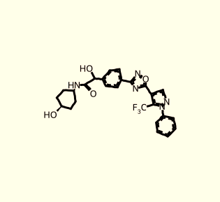 O=C(N[C@H]1CC[C@H](O)CC1)C(O)c1ccc(-c2noc(-c3cnn(-c4ccccc4)c3C(F)(F)F)n2)cc1